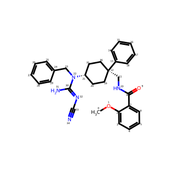 COc1ccccc1C(=O)NC[C@]1(c2ccccc2)CC[C@H](N(Cc2ccccc2)C(N)=NC#N)CC1